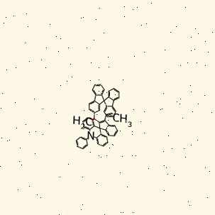 C=C(C1=C(/C=C\C)c2ccccc2C12c1ccccc1N(c1ccccc1)c1ccccc12)c1ccc2c(c1)C1(c3ccccc3-c3ccccc31)c1ccccc1-2